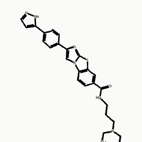 CCN(CC)CCCNC(=O)c1ccc2c(c1)sc1nc(-c3ccc(-c4ccn[nH]4)cc3)cn12